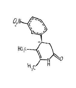 CC1=C(C(=O)O)[C@@H](c2cccc([N+](=O)[O-])c2)CC(=O)N1